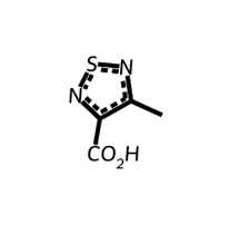 Cc1nsnc1C(=O)O